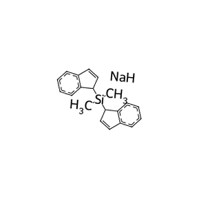 C[Si](C)(C1C=Cc2ccccc21)C1C=Cc2ccccc21.[NaH]